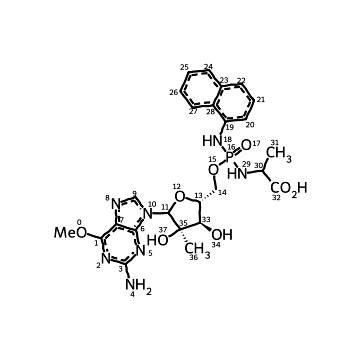 COc1nc(N)nc2c1ncn2C1O[C@H](COP(=O)(Nc2cccc3ccccc23)NC(C)C(=O)O)[C@@H](O)[C@@]1(C)O